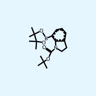 CC(C)(C)OC(=O)N1CCc2cccc(B3OC(C)(C)C(C)(C)O3)c21